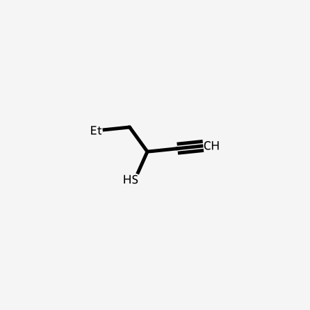 C#CC(S)CCC